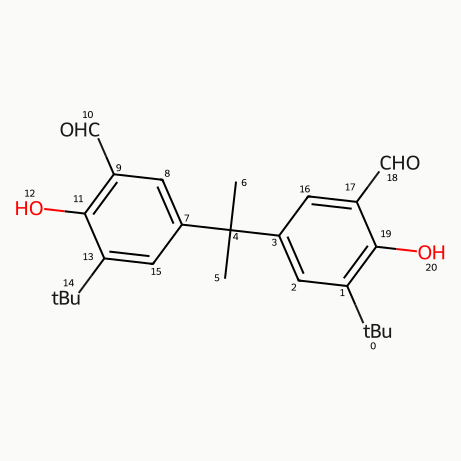 CC(C)(C)c1cc(C(C)(C)c2cc(C=O)c(O)c(C(C)(C)C)c2)cc(C=O)c1O